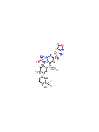 COc1cc(-c2cccc(C(F)(F)F)c2)c(Cl)cc1N(C(N)=O)c1ccc(S(=O)(=O)Nc2ccon2)cn1